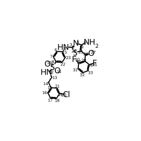 Nc1nc(Nc2ccc(S(=O)(=O)NCCc3cccc(Cl)c3)cc2)sc1C(=O)c1c(F)cccc1F